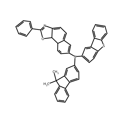 CC1(C)c2ccccc2-c2ccc(N(C3=CC4=CC=C5N=C(c6ccccc6)OC5C4C=C3)c3ccc4sc5ccccc5c4c3)cc21